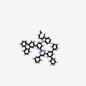 C=C/C=C\c1c(C)c2ccccc2n1-c1cc(-c2ccc3c4ccccc4c4ccccc4c3c2)cc(-c2nc(-c3ccccc3)cc(-c3cc(-c4ccccc4)cc(-c4ccccc4)c3)n2)c1